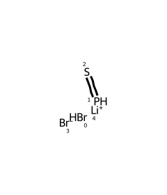 Br.P=S.[Br-].[Li+]